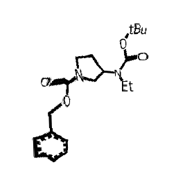 CCN(C(=O)OC(C)(C)C)C1CCN(C(=O)OCc2ccccc2)C1